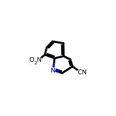 N#Cc1cnc2c([N+](=O)[O-])cccc2c1